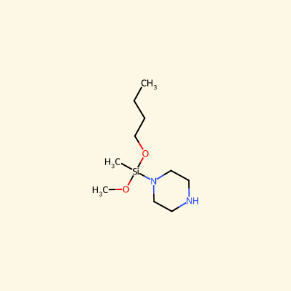 CCCCO[Si](C)(OC)N1CCNCC1